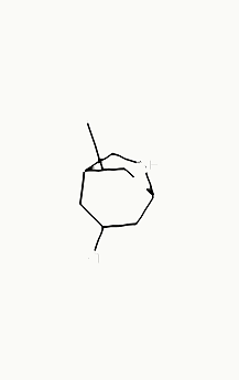 CC1CC2CCC(C)C(CN2)C1